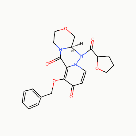 O=C1c2c(OCc3ccccc3)c(=O)ccn2N(C(=O)C2CCCO2)[C@@H]2COCCN12